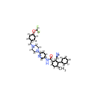 Cc1ccc(C(=O)Nc2ccc(N3CCN(Cc4ccc(OC(F)F)cc4)CC3)nc2)c(C#N)c1-c1ccccc1